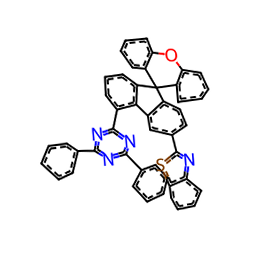 c1ccc(-c2nc(-c3ccccc3)nc(-c3cccc4c3-c3cc(-c5nc6ccccc6s5)ccc3C43c4ccccc4Oc4ccccc43)n2)cc1